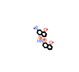 COc1cccc2c1CC(NS(=O)(=O)c1ccc(OC)c3c1CC[C@H](N(C)C)C3)CC2